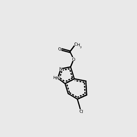 CC(=O)Oc1n[nH]c2cc(Cl)ccc12